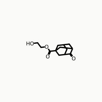 O=C1C2CC3CC1CC(C(=O)OCCO)(C3)C2